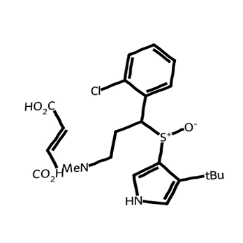 CNCCC(c1ccccc1Cl)[S+]([O-])c1c[nH]cc1C(C)(C)C.O=C(O)/C=C/C(=O)O